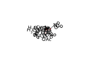 CC(=O)OCC1O[C@H](O[C@H]2C(COC(=O)c3ccccc3)O[C@@H](OCCCCCCN(Cc3ccccc3)C(=O)OCc3ccccc3)C(N=[N+]=[N-])[C@H]2O[C@@H]2OC(CO[C@H]3OC(COC(=O)c4ccccc4)[C@@H](C)[C@H](C)C3C)[C@@H](C)[C@H](C)C2OC(=O)c2ccccc2)C(C)[C@@H](C)[C@@H]1C